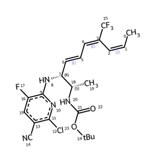 C\C=C/C(=C\C=C\[C@@H](Nc1nc(Cl)c(C#N)cc1F)[C@H](C)NC(=O)OC(C)(C)C)C(F)(F)F